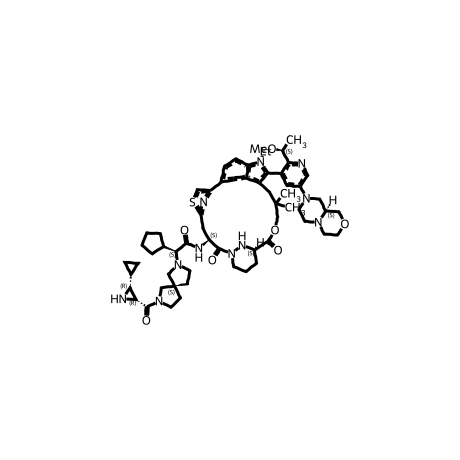 CCn1c(-c2cc(N3CCN4CCOC[C@@H]4C3)cnc2[C@H](C)OC)c2c3cc(ccc31)-c1csc(n1)C[C@H](NC(=O)[C@H](C1CCCC1)N1CC[C@]3(CCN(C(=O)[C@@H]4N[C@@H]4C4CC4)C3)C1)C(=O)N1CCC[C@H](N1)C(=O)OCC(C)(C)C2